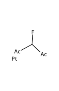 CC(=O)C(F)C(C)=O.[Pt]